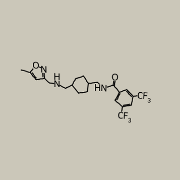 Cc1cc(CNCC2CCC(CNC(=O)c3cc(C(F)(F)F)cc(C(F)(F)F)c3)CC2)no1